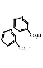 CCOC(=O)c1cccnc1.CCOC(=O)c1cccnc1